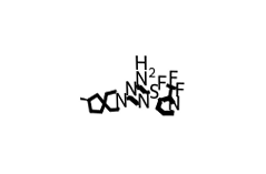 C[C@@H]1CCC2(CCN(c3cnc(Sc4cccnc4C(F)(F)F)c(N)n3)CC2)C1